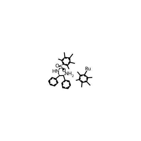 Cc1c(C)c(C)c(C)c(C)c1C.Cc1c(C)c(C)c(S(=O)(=O)N[C@H](c2ccccc2)[C@H](N)c2ccccc2)c(C)c1C.[Ru]